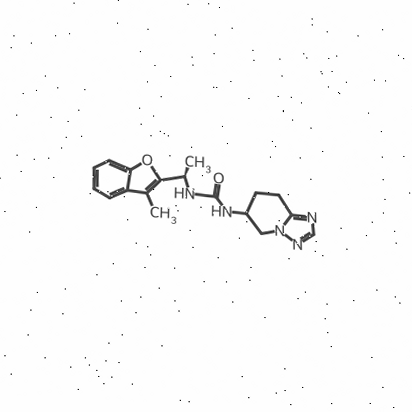 Cc1c([C@@H](C)NC(=O)NC2CCc3ncnn3C2)oc2ccccc12